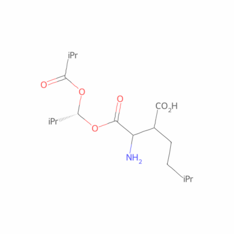 CC(C)CCC(C(=O)O)C(N)C(=O)O[C@@H](OC(=O)C(C)C)C(C)C